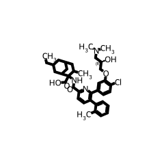 CCC1CC2CC(C)C(NC(=O)c3ccc(-c4ccccc4C)c(-c4ccc(Cl)c(OC[C@H](O)CN(C)C)c4)n3)(C(=O)O)C(C1)C2